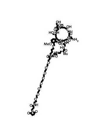 CC[C@H](C)[C@H](CCNC(=O)CN)C(=O)NCC(=O)N[C@@H]1C[S+]([O-])C2Nc3c(ccc(OC)c3CSCCCCNC(=O)CCOCCOCCOCCOCCOCCOCCOCCOCCNC(=O)CCN3C(=O)C=CC3=O)C2C[C@@H](CO)NC(=O)[C@H]([C@@H](C)[C@@H](O)CO)NC(=O)C[C@@H](O)CNC(=O)[C@H](CC(N)=O)NC1=O